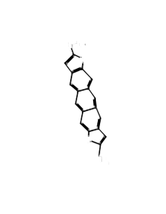 CCCCCCc1cc2cc3cc4cc5sc(C)cc5cc4cc3cc2s1